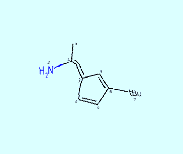 CC(N)=C1C=CC(C(C)(C)C)=C1